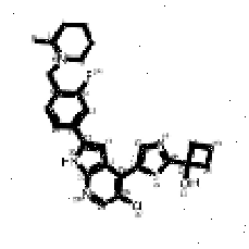 CC1CCCCN1Cc1ccc(-c2cc3c(-c4cnc(C5(O)CCC5)s4)c(Cl)cnc3[nH]2)cc1F